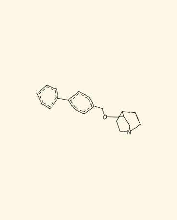 c1ccc(-c2ccc(COC3CN4CCC3CC4)cc2)cc1